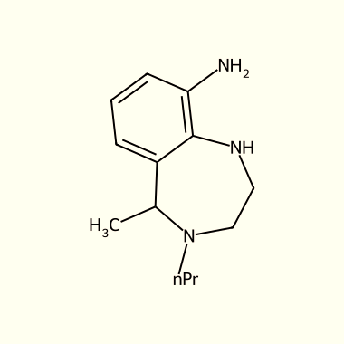 CCCN1CCNc2c(N)cccc2C1C